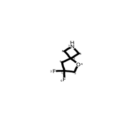 FC1(F)COC2(CNC2)C1